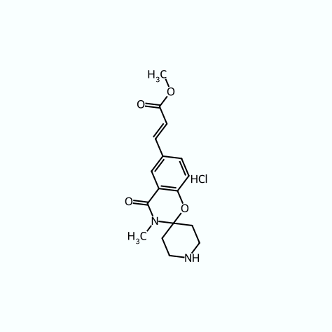 COC(=O)C=Cc1ccc2c(c1)C(=O)N(C)C1(CCNCC1)O2.Cl